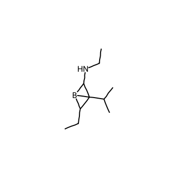 CCNC1B2C(CC)C21C(C)C